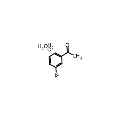 O.O.[B]c1cccc(C(C)=O)c1